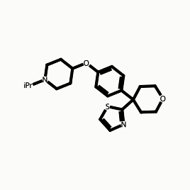 CC(C)N1CCC(Oc2ccc(C3(c4nccs4)CCOCC3)cc2)CC1